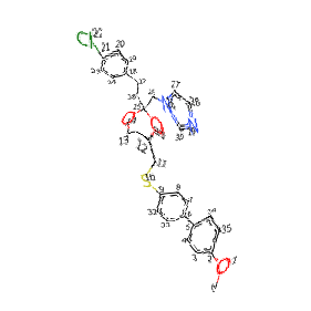 COc1ccc(-c2ccc(SCC3COC(CCc4ccc(Cl)cc4)(Cn4ccnc4)O3)cc2)cc1